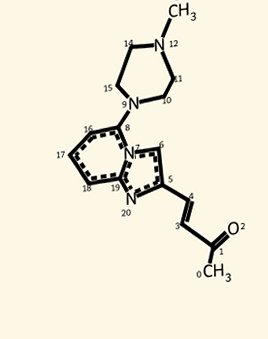 CC(=O)/C=C/c1cn2c(N3CCN(C)CC3)cccc2n1